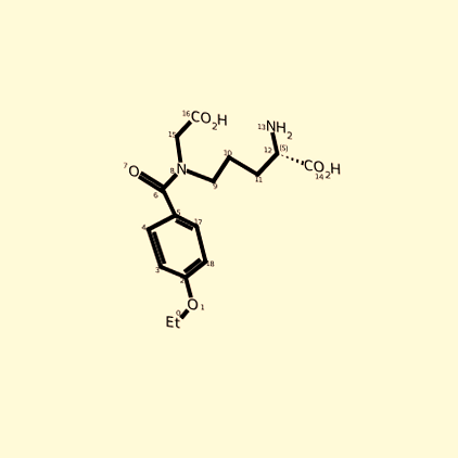 CCOc1ccc(C(=O)N(CCC[C@H](N)C(=O)O)CC(=O)O)cc1